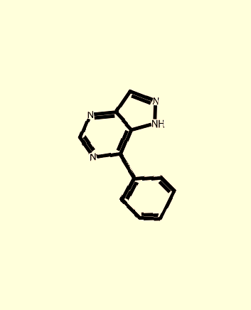 c1ccc(-c2ncnc3cn[nH]c23)cc1